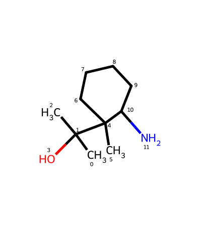 CC(C)(O)C1(C)CCCCC1N